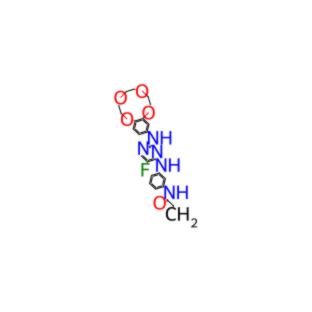 C=CC(=O)Nc1cccc(Nc2nc(Nc3ccc4c(c3)OCCOCCOCCO4)ncc2F)c1